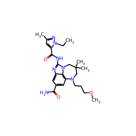 CCn1nc(C)cc1C(=O)Nc1nc2cc(C(N)=O)cc3c2n1CC(C)(C)CN3CCCOC